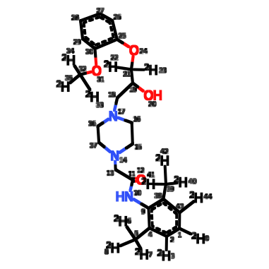 [2H]c1c([2H])c(C([2H])([2H])[2H])c(NC(=O)CN2CCN(CC(O)C([2H])([2H])Oc3ccccc3OC([2H])([2H])[2H])CC2)c(C([2H])([2H])[2H])c1[2H]